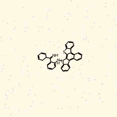 N=C(c1ccccc1Nn1c2ccccc2c2c3ccccc3c3c4ccccc4sc3c21)C1C=CC=CC1